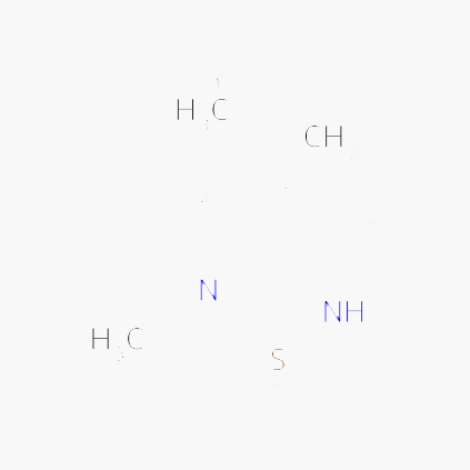 CN1CC(C)(C)CNS1